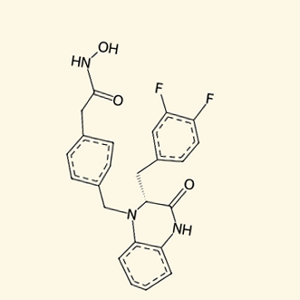 O=C(Cc1ccc(CN2c3ccccc3NC(=O)[C@H]2Cc2ccc(F)c(F)c2)cc1)NO